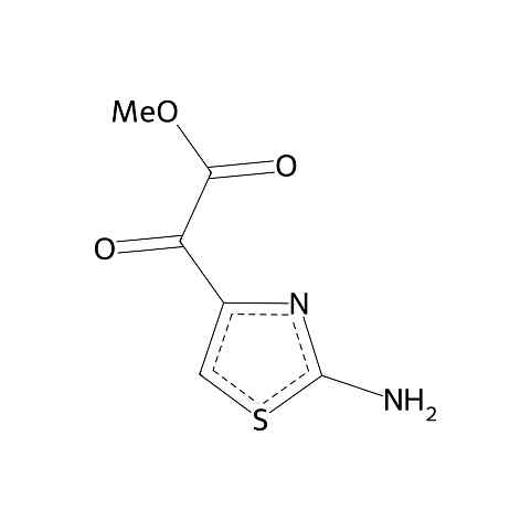 COC(=O)C(=O)c1csc(N)n1